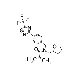 C=C(C)C(=O)N(Cc1ccc(-c2noc(C(F)(F)F)n2)cc1)CC1CCCO1